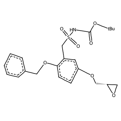 CC(C)(C)OC(=O)NS(=O)(=O)Cc1cc(OC[C@@H]2CO2)ccc1OCc1ccccc1